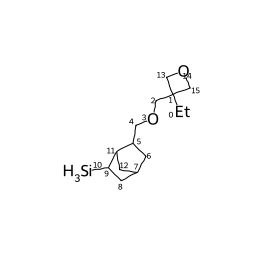 CCC1(COCC2CC3CC([SiH3])C2C3)COC1